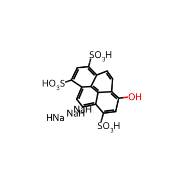 O=S(=O)(O)c1cc(O)c2ccc3c(S(=O)(=O)O)cc(S(=O)(=O)O)c4ccc1c2c34.[NaH].[NaH].[NaH]